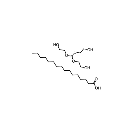 CCCCCCCCCCCCCCCC(=O)O.OCCON(OCCO)OCCO